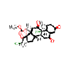 COC(=O)O[C@]1(C(=O)CCl)[C@@H](C)C[C@H]2[C@@H]3CC(=O)C4=CC(=O)CC[C@]4(C)[C@@]3(F)C(=O)C[C@@]21C